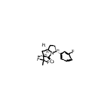 CC(F)(F)[C@]1(C)C[C@H]2CC[C@H](c3cccc(F)c3)N2C1=O